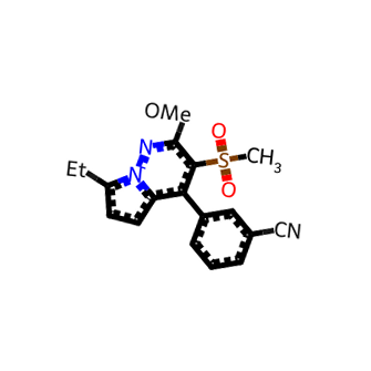 CCc1ccc2c(-c3cccc(C#N)c3)c(S(C)(=O)=O)c(OC)nn12